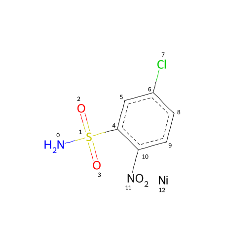 NS(=O)(=O)c1cc(Cl)ccc1[N+](=O)[O-].[Ni]